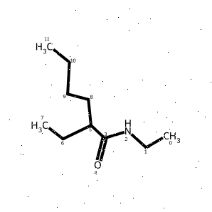 C[CH]NC(=O)C(CC)CCCC